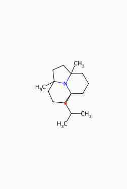 CC(C)CC12CCCC3(C)CCC(C)(CCC1)N32